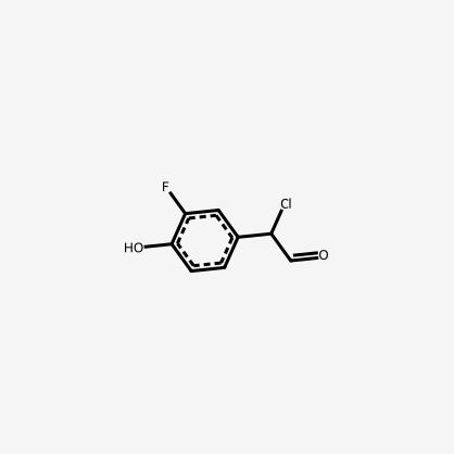 O=CC(Cl)c1ccc(O)c(F)c1